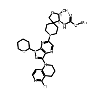 C[C@@H]1OCC2(CCN(c3cnc4c(N5CCCc6c5ccnc6Cl)nn(C5CCCCO5)c4n3)CC2)[C@@H]1NC(=O)OC(C)(C)C